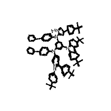 CC(C)(C)c1ccc(-c2c[nH]c(N(c3ccc(-c4ccccc4)cc3)c3cc(N(c4ccc(-c5ccccc5)cc4)c4cc(-c5ccc(C(C)(C)C)cc5)n(-c5ccc(C(C)(C)C)cc5)c4)cc(-n4c5ccc(C(C)(C)C)cc5c5cc(C(C)(C)C)ccc54)c3)c2)cc1